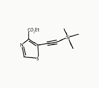 CCOC(=O)c1ncsc1C#C[Si](C)(C)C